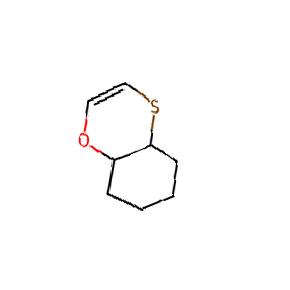 C1=CSC2CCCCC2O1